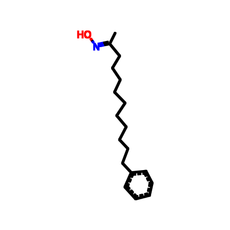 CC(CCCCCCCCCCc1ccccc1)=NO